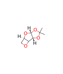 CC1(C)O[C@H]2O[C@@H]3COC3[C@H]2O1